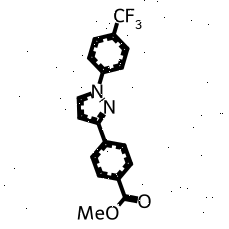 COC(=O)c1ccc(-c2ccn(-c3ccc(C(F)(F)F)cc3)n2)cc1